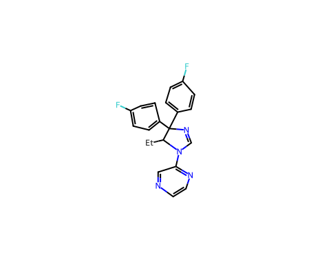 CCC1N(c2cnccn2)C=NC1(c1ccc(F)cc1)c1ccc(F)cc1